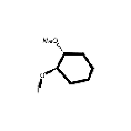 CO[C@@H]1CCCC[C@H]1OI